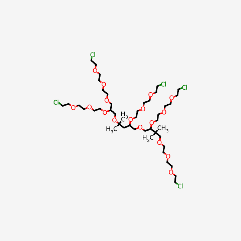 CC(C)(CC(COCC(OCCOCCOCCCl)C(C)(C)COCCOCCOCCCl)OCCOCCOCCCl)OCC(COCCOCCOCCCl)OCCOCCOCCCl